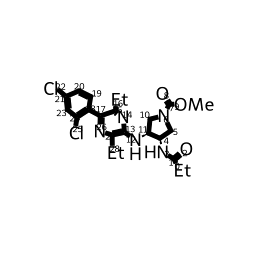 CCC(=O)N[C@H]1CN(C(=O)OC)C[C@H]1Nc1nc(CC)c(-c2ccc(Cl)cc2Cl)nc1CC